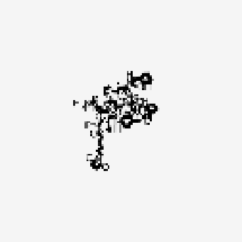 CC[C@H](C)[C@@H]([C@@H](CC(=O)N1CCC[C@H]1[C@H](OC)[C@@H](C)C(=O)N[C@H](CO)Cc1ccccc1)OC)N(C)C(=O)[C@H](C)NC(=O)[C@@H]1[C@H]2CC[C@H](C2)N1C(=O)OCc1ccc(NC(=O)[C@H](CCCNC(N)=O)NC(=O)[C@@H](NC(=O)CCCCCN2C(=O)C=CC2=O)C(C)C)cc1